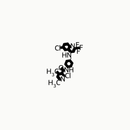 Cc1cc(C)c(C(=O)N[C@H]2CC[C@@H](CNc3cc(C(F)(F)F)nc4ccc(Cl)cc34)CC2)c(Cl)n1